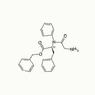 NCC(=O)N(c1ccccc1)[C@@H](Cc1ccccc1)C(=O)OCc1ccccc1